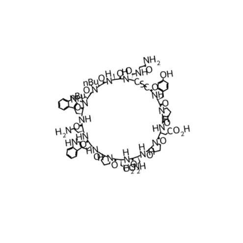 CCCC[C@H]1C(=O)N(C)[C@@H](CCCC)C(=O)N[C@@H](C)C(=O)N[C@H](C(=O)NCC(N)=O)CSCC(=O)N[C@@H](Cc2ccc(O)cc2)C(=O)N2CCC[C@H]2C(=O)NC(CC(=O)O)C(=O)N2CCC[C@H]2C(=O)N[C@@H](CN)C(=O)N[C@@H](CC(=O)O)C(=O)N2CCC[C@H]2C(=O)N[C@@H](Cc2c[nH]c3ccccc23)C(=O)N[C@@H](CCN)C(=O)N[C@@H](Cc2c[nH]c3ccccc23)C(=O)N1C